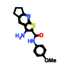 COc1ccc(NC(=O)c2sc3nc4c(cc3c2N)CCC4)cc1